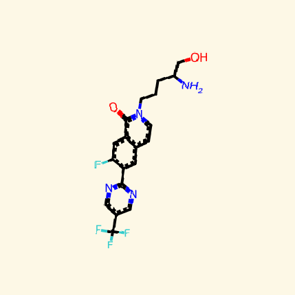 NC(CO)CCCn1ccc2cc(-c3ncc(C(F)(F)F)cn3)c(F)cc2c1=O